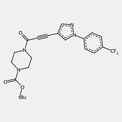 CC(C)(C)OC(=O)N1CCN(C(=O)C#Cc2cnn(-c3ccc(C(F)(F)F)cc3)c2)CC1